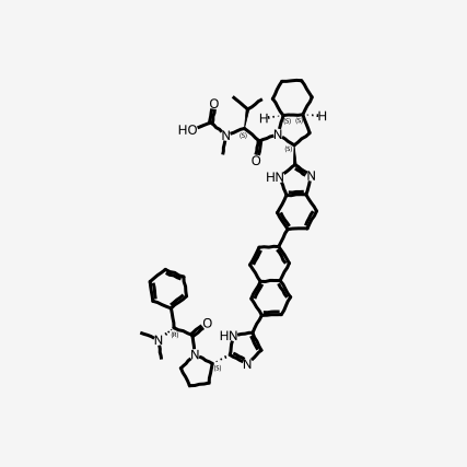 CC(C)[C@@H](C(=O)N1[C@H](c2nc3ccc(-c4ccc5cc(-c6cnc([C@@H]7CCCN7C(=O)[C@@H](c7ccccc7)N(C)C)[nH]6)ccc5c4)cc3[nH]2)C[C@@H]2CCCC[C@@H]21)N(C)C(=O)O